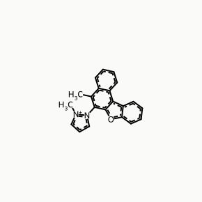 Cc1c(-n2ccc[n+]2C)c2oc3ccccc3c2c2ccccc12